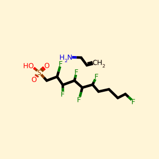 C=CCN.O=S(=O)(O)CC(F)C(F)C(F)C(F)C(F)CCCCF